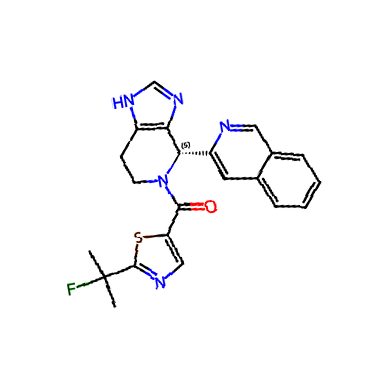 CC(C)(F)c1ncc(C(=O)N2CCc3[nH]cnc3[C@@H]2c2cc3ccccc3cn2)s1